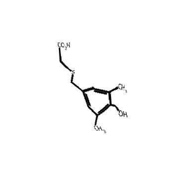 Cc1cc(CSCC(=O)O)cc(C)c1O